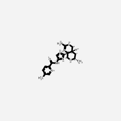 Cc1ccc(C(=O)Nc2csc([C@]34CO[C@@H](C)C[C@H]3CSC(N)=N4)n2)nc1